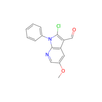 COc1cnc2c(c1)c(C=O)c(Cl)n2-c1ccccc1